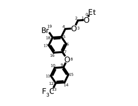 CCOCOCc1cc(Oc2ccc(C(F)(F)F)cc2)ccc1Br